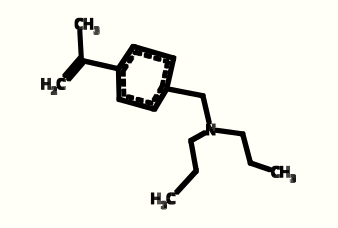 C=C(C)c1ccc(CN(CCC)CCC)cc1